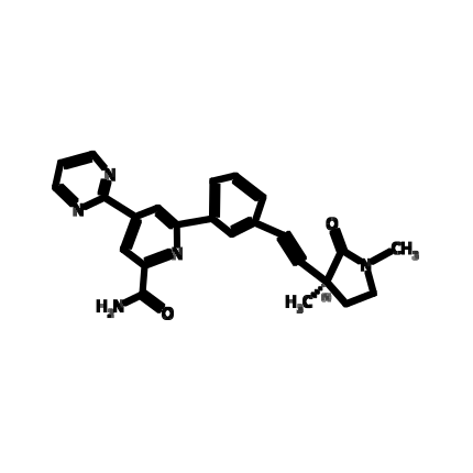 CN1CC[C@@](C)(C#Cc2cccc(-c3cc(-c4ncccn4)cc(C(N)=O)n3)c2)C1=O